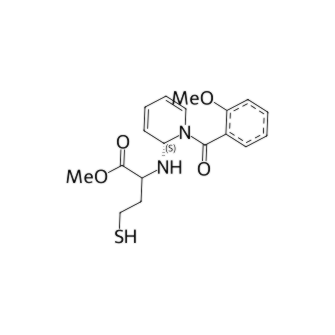 COC(=O)C(CCS)N[C@@H]1C=CC=CN1C(=O)c1ccccc1OC